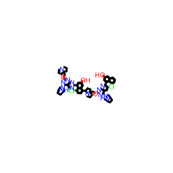 Oc1cc(-c2ccc3c(N4CC5CCC(C4)N5)nc(OCC45CCCN4C(c4ccc(Cl)c6c(-c7ncc8c(N9CC%10CCC(C9)N%10)nc(OCC9%10CCCN9CCC%10)nc8n7)cc(O)cc46)CC5)nc3n2)c2c(Cl)cccc2c1